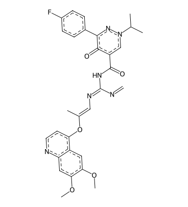 C=N/C(=N\C=C(/C)Oc1ccnc2cc(OC)c(OC)cc12)NC(=O)c1cn(C(C)C)nc(-c2ccc(F)cc2)c1=O